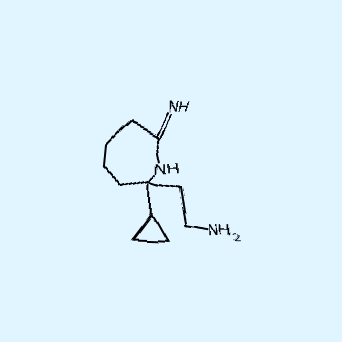 N=C1CCCCC(CCN)(C2CC2)N1